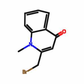 Cn1c(CBr)cc(=O)c2ccccc21